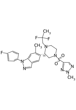 Cc1cc2c(cnn2-c2ccc(F)cc2)cc1[C@H]1CN(S(=O)(=O)c2cnn(C)n2)CCN1CC(C)(F)F